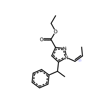 C/C=C\n1nc(C(=O)OCC)cc1C(C)c1ccccc1